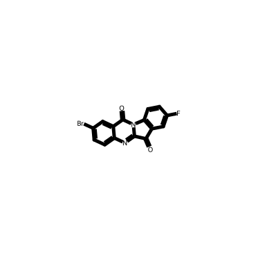 O=C1c2cc(F)ccc2-n2c1nc1ccc(Br)cc1c2=O